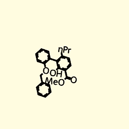 CCCc1ccc(C(=O)OC)c(O)c1-c1ccccc1OCc1ccccc1